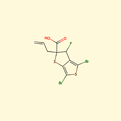 C=CCC1(C(=O)O)Sc2c(Br)sc(Br)c2C1F